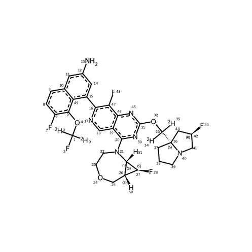 [2H]C([2H])(F)Oc1c(F)ccc2cc(N)cc(-c3ncc4c(N5CCOC[C@H]6[C@H](F)[C@H]65)nc(OC([2H])([2H])[C@@]56CCCN5C[C@H](F)C6)nc4c3F)c12